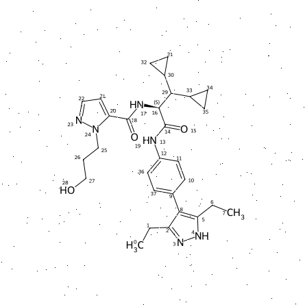 CCc1n[nH]c(CC)c1-c1ccc(NC(=O)[C@@H](NC(=O)c2ccnn2CCCO)C(C2CC2)C2CC2)cc1